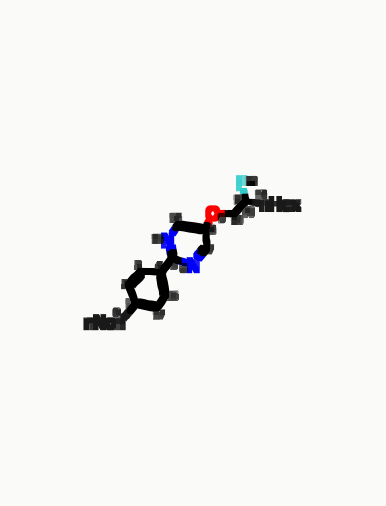 CCCCCCCCCc1ccc(-c2ncc(OC[C@@H](F)CCCCCC)cn2)cc1